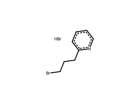 Br.BrCCCc1ccccn1